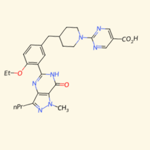 CCCc1nn(C)c2c(=O)[nH]c(-c3cc(CC4CCN(c5ncc(C(=O)O)cn5)CC4)ccc3OCC)nc12